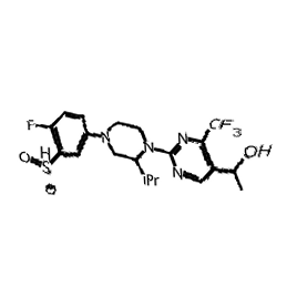 CC(O)c1cnc(N2CCN(c3ccc(F)c([SH](=O)=O)c3)CC2C(C)C)nc1C(F)(F)F